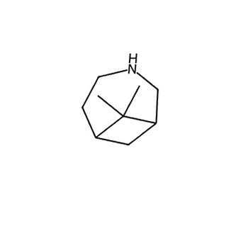 CC1(C)C2CCNCC1C2